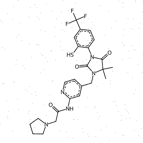 CC1(C)C(=O)N(c2ccc(C(F)(F)F)cc2S)C(=O)N1Cc1ccnc(NC(=O)CN2CCCC2)c1